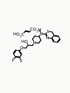 CN(C1=Nc2ccccc2CS1)C1CCN(C[C@H](O)COc2ccc(F)c(F)c2)CC1.O=C(O)C=CC(=O)O